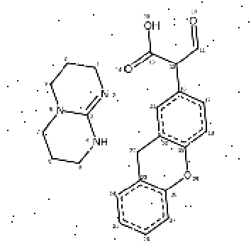 C1CN=C2NCCCN2C1.O=CC(C(=O)O)c1ccc2c(c1)Cc1ccccc1O2